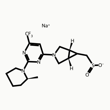 C[C@H]1CCCCN1c1nc(N2C[C@@H]3C(CS(=O)[O-])[C@@H]3C2)cc(C(F)(F)F)n1.[Na+]